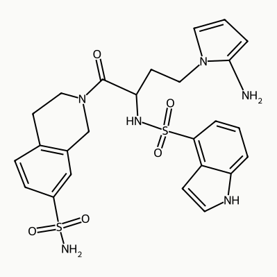 Nc1cccn1CCC(NS(=O)(=O)c1cccc2[nH]ccc12)C(=O)N1CCc2ccc(S(N)(=O)=O)cc2C1